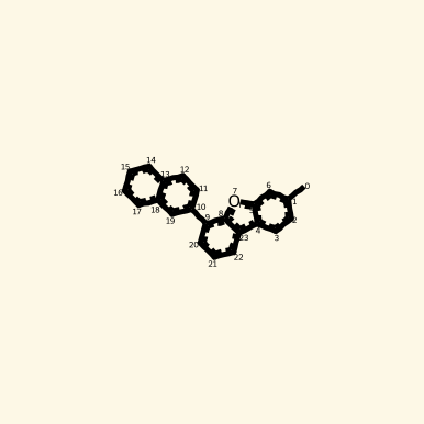 Cc1ccc2c(c1)oc1c(-c3ccc4ccccc4c3)cccc12